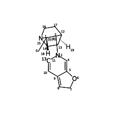 C[C@H]1[C@H](N2C=C3OCC=C3C=[13CH]2)C2CCN1CC2